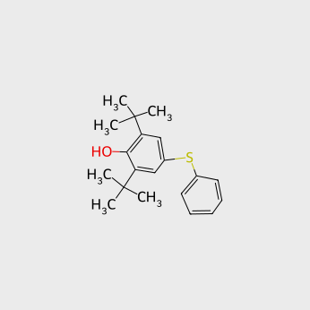 CC(C)(C)c1cc(Sc2ccccc2)cc(C(C)(C)C)c1O